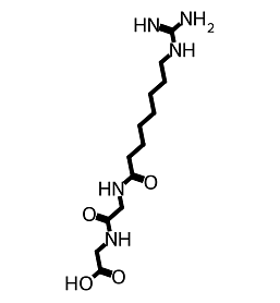 N=C(N)NCCCCCCCC(=O)NCC(=O)NCC(=O)O